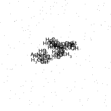 CCOP(=O)(O)OC(C)(C)C(C)(C)OC(COCC(C)OP(=O)(O)OC)(COCC(C)(C)OP(=O)(O)OCCCC(C)OC(OC(CO)[C@@H](C)O)[C@H](CO)NC(C)=O)COP(=O)(O)O